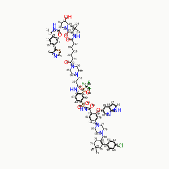 Cc1ncsc1-c1ccc([C@H](C)NC(=O)[C@@H]2C[C@@H](O)CN2C(=O)[C@@H](NC(=O)CCCCCC(=O)N2CCN(CCCNc3ccc(S(=O)(=O)NC(=O)c4ccc(N5CCN(CC6=C(c7ccc(Cl)cc7)CC(C)(C)CC6)CC5)cc4Oc4cnc5[nH]ccc5c4)cc3S(=O)(=O)C(F)(F)F)CC2)C(C)(C)C)cc1